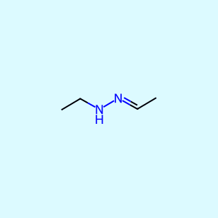 CC=NNCC